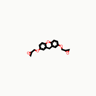 c1cc2c(cc1OCC1CO1)Cc1cc(OCC3CO3)ccc1O2